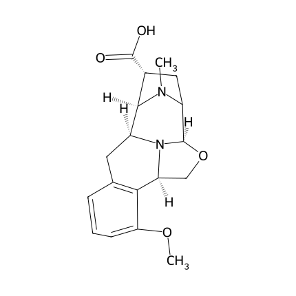 COc1cccc2c1[C@@H]1CO[C@@H]3C4C[C@@H](C(=O)O)[C@H]([C@H](C2)N31)N4C